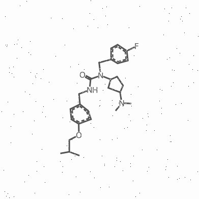 CC(C)COc1ccc(CNC(=O)N(Cc2ccc(F)cc2)C2CCC(N(C)C)C2)cc1